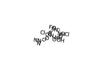 C[C@H]1C(=O)N[C@@H](CO)C(=O)N[C@@]2(Cc3ccc(Cl)cc3)CCCN(C2)C(=O)[C@H](CC(C)(F)F)CC(=O)N1Cc1c(F)cc(Cl)cc1Oc1ccc(-c2cnc(CN(C)C)n2C)cc1